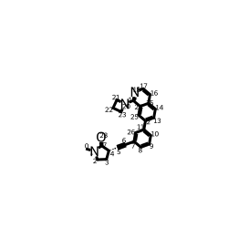 CN1CC[C@@H](C#Cc2cccc(-c3ccc4ccnc(N5CCC5)c4c3)c2)C1=O